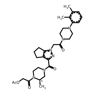 CC(=O)OCC(=O)N1CCN(C(=O)c2nn(CC(=O)N3CCN(c4cccc(C)c4C)CC3)c3c2CCC3)C[C@H]1C